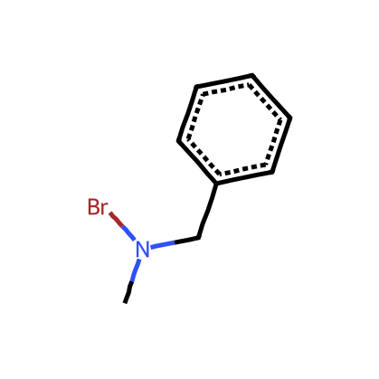 CN(Br)Cc1ccccc1